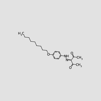 CCCCCCCCCOc1ccc(NN=C(C(C)=O)C(C)=O)cc1